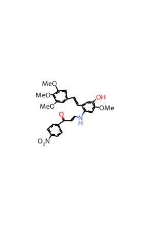 COc1cc(NC=CC(=O)c2ccc([N+](=O)[O-])cc2)c(C=Cc2cc(OC)c(OC)c(OC)c2)cc1O